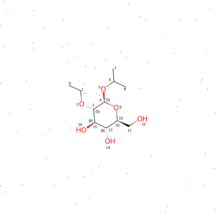 CCO[C@@H]1[C@@H](OC(C)C)O[C@@H](CO)[C@H](O)[C@H]1O